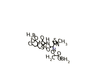 BOC(=O)C(=C)O/N=C(\C(=O)N[C@@H]1C(=O)N2C(C(=O)OB)=C(CCl)CS[C@H]12)c1csc(C)n1